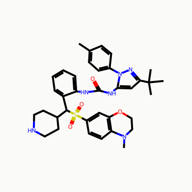 Cc1ccc(-n2nc(C(C)(C)C)cc2NC(=O)Nc2ccccc2C(C2CCNCC2)S(=O)(=O)c2ccc3c(c2)OCCN3C)cc1